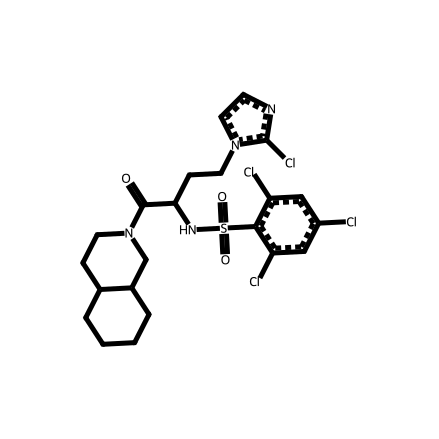 O=C(C(CCn1ccnc1Cl)NS(=O)(=O)c1c(Cl)cc(Cl)cc1Cl)N1CCC2CCCCC2C1